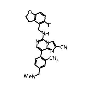 CNCc1ccc(-c2cnc(NCc3c(F)ccc4c3CCO4)n3cc(C#N)nc23)c(C)c1